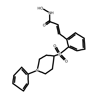 O=C(/C=C/c1ccccc1S(=O)(=O)C1CCN(c2ccccc2)CC1)NO